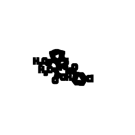 COc1cccc2s/c(=N\C(=O)c3cccc(Cl)c3)n(C(C)C(=O)O)c12